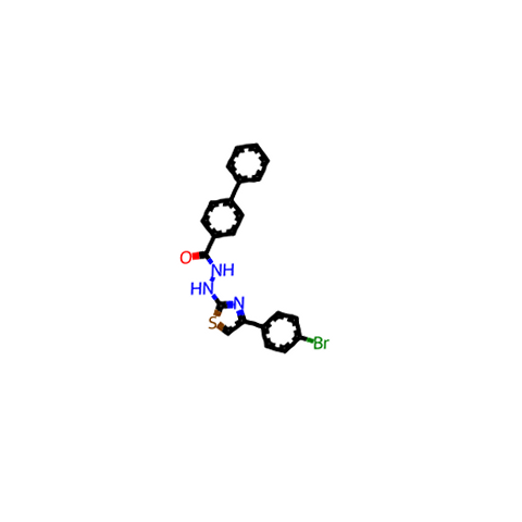 O=C(NNc1nc(-c2ccc(Br)cc2)cs1)c1ccc(-c2ccccc2)cc1